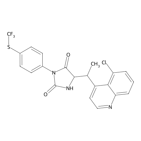 CC(c1ccnc2cccc(Cl)c12)C1NC(=O)N(c2ccc(SC(F)(F)F)cc2)C1=O